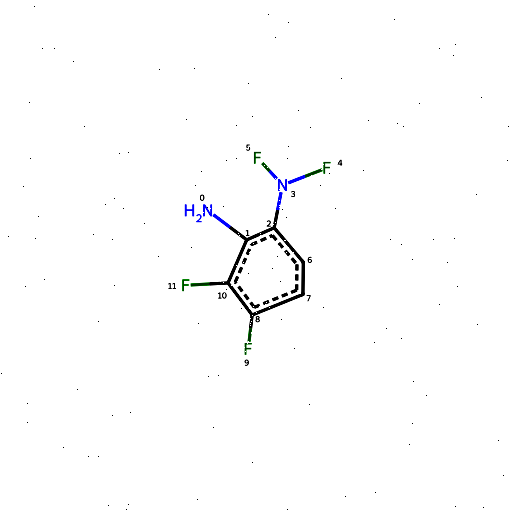 Nc1c(N(F)F)ccc(F)c1F